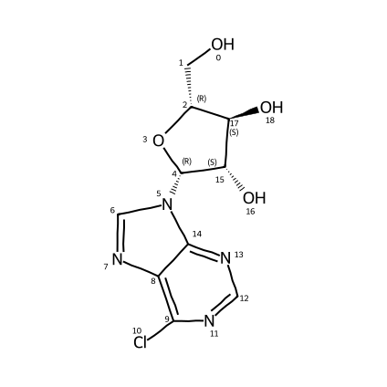 OC[C@H]1O[C@@H](n2cnc3c(Cl)ncnc32)[C@@H](O)[C@@H]1O